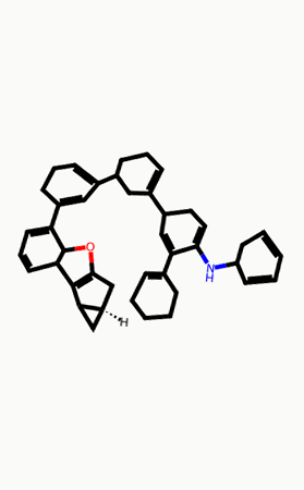 C1=CCC(NC2=CCC(C3=CCCC(C4=CCCC(C5=CC=CC6C7=C(C[C@H]8CC78)OC56)=C4)C3)C=C2C2=CCCCC2)C=C1